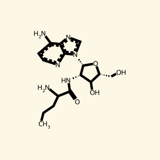 CCCC(N)C(=O)N[C@H]1C(O)[C@@H](CO)O[C@H]1n1cnc2c(N)ccnc21